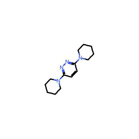 c1cc(N2CCCCC2)nnc1N1CCCCC1